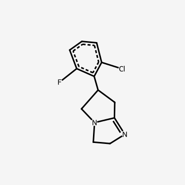 Fc1cccc(Cl)c1C1CC2=NCCN2C1